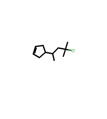 CC(CC(C)(C)Cl)C1CC=CC1